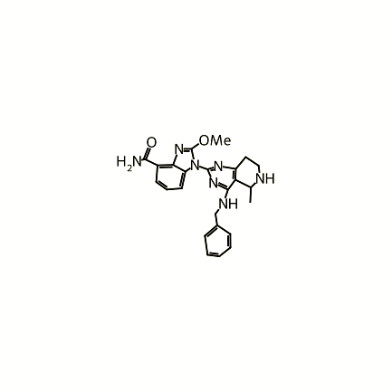 COc1nc2c(C(N)=O)cccc2n1-c1nc2c(c(NCc3ccccc3)n1)C(C)NCC2